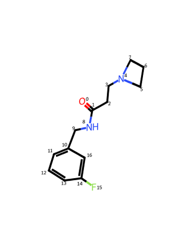 O=C(CCN1CCC1)NCc1cccc(F)c1